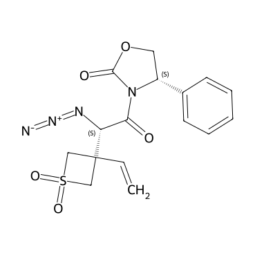 C=CC1([C@H](N=[N+]=[N-])C(=O)N2C(=O)OC[C@@H]2c2ccccc2)CS(=O)(=O)C1